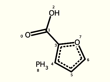 O=C(O)c1ccco1.P